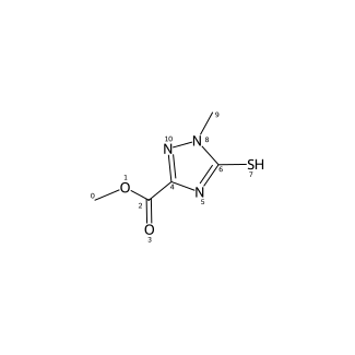 COC(=O)c1nc(S)n(C)n1